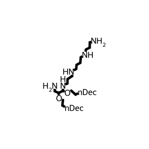 CCCCCCCCCCCCOC(CN)C(NCCCNCCCCNCCCN)OCCCCCCCCCCCC